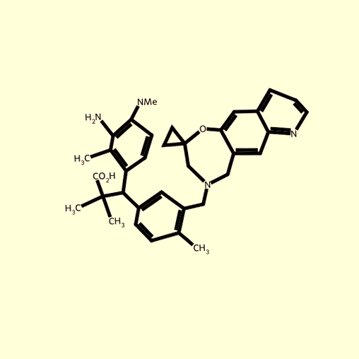 CNc1ccc(C(c2ccc(C)c(CN3Cc4cc5ncccc5cc4OC4(CC4)C3)c2)C(C)(C)C(=O)O)c(C)c1N